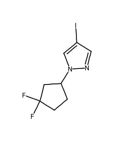 FC1(F)CCC(n2cc(I)cn2)C1